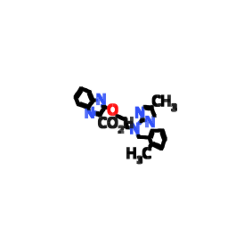 Cc1cnc(N(CCCOc2nc3ccccc3nc2C(=O)O)Cc2ccccc2C)nc1